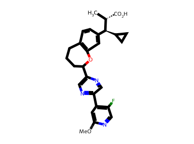 COc1cc(-c2cnc(C3CCCc4ccc([C@H](C5CC5)[C@H](C)C(=O)O)cc4O3)cn2)c(F)cn1